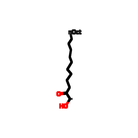 CCCCCCCCCCCCCCCCCC(=O)[CH]O